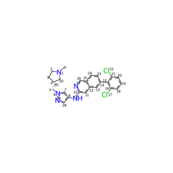 CN1CC[C@@H](Cn2cc(Nc3cc4cc(-c5c(Cl)cccc5Cl)ccc4cn3)cn2)C1